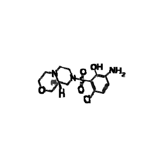 Nc1ccc(Cl)c(S(=O)(=O)N2CCN3CCOC[C@H]3C2)c1O